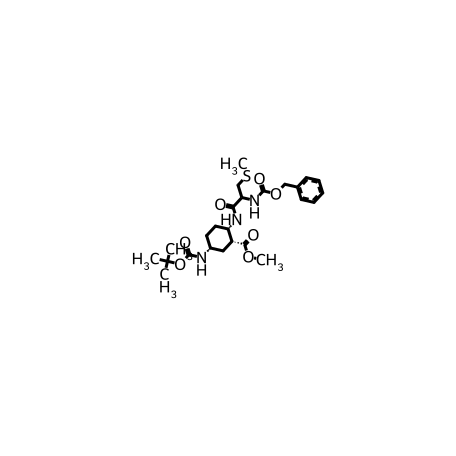 COC(=O)[C@@H]1C[C@H](NC(=O)OC(C)(C)C)CC[C@@H]1NC(=O)C(CSC)NC(=O)OCc1ccccc1